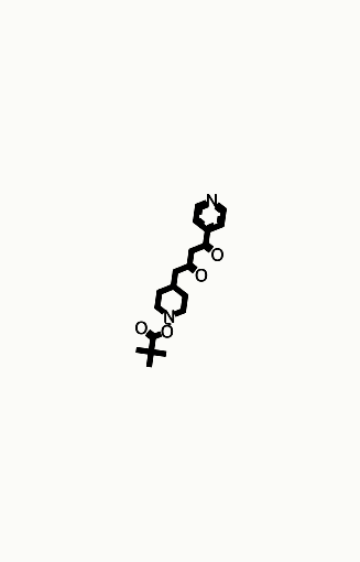 CC(C)(C)C(=O)ON1CCC(CC(=O)CC(=O)c2ccncc2)CC1